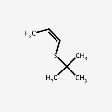 C/C=C\SC(C)(C)C